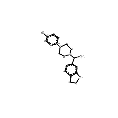 CC(c1ccc2c(c1)OCC2)N1CCN(c2ccc(Br)cn2)CC1